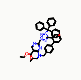 CCCN(Cc1ccc(-c2ccccc2-c2nnnn2C(c2ccccc2)(c2ccccc2)c2ccccc2)cc1)c1nc(C)ncc1C(=O)OCC